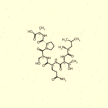 CC(C)C[C@H](N)C(=O)N[C@H](C(=O)N[C@@H](CCC(N)=O)C(=O)N[C@@H](CO)C(=O)N1CCC[C@H]1C(=O)N[C@@H](C)C(=O)O)[C@@H](C)O